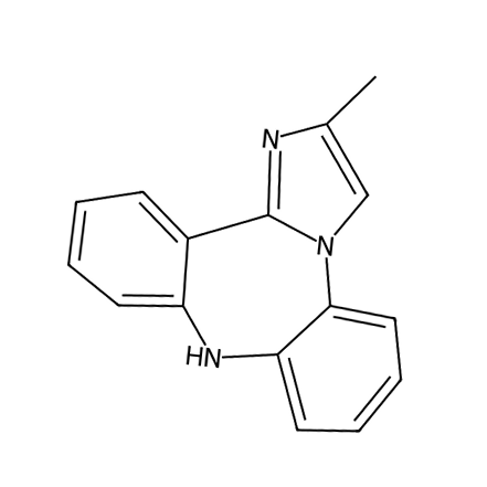 Cc1cn2c(n1)-c1ccccc1Nc1ccccc1-2